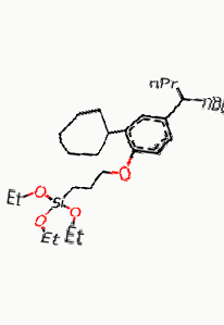 CCCCC(CCC)c1ccc(OCCC[Si](OCC)(OCC)OCC)c(C2CCCCC2)c1